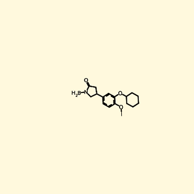 BN1CC(c2ccc(OI)c(OC3CCCCC3)c2)CC1=O